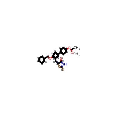 COC(C)Oc1ccc(-c2ccc(OCc3ccccc3)c(/C=C3/SC(=S)NC3=O)c2)cc1